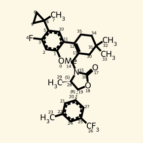 COc1cc(F)c(C2(C)CC2)cc1C1=C(CN2C(=O)O[C@H](c3cc(C)cc(C(F)(F)F)c3)[C@@H]2C)CC(C)(C)CC1